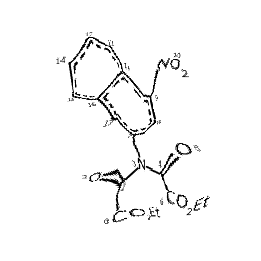 CCOC(=O)C(=O)N(C(=O)C(=O)OCC)c1cc([N+](=O)[O-])c2ccccc2c1